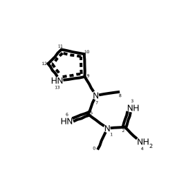 CN(C(=N)N)C(=N)N(C)c1ccc[nH]1